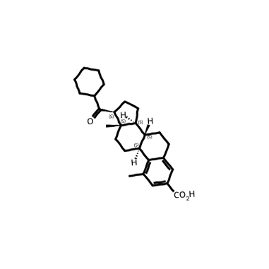 Cc1cc(C(=O)O)cc2c1[C@H]1CC[C@]3(C)[C@@H](C(=O)C4CCCCC4)CC[C@H]3[C@@H]1CC2